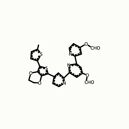 Cc1ccc(-c2sc(-c3ccnc(-c4cc(OC=O)cc(-c5cc(OC=O)ccn5)n4)c3)c3c2OCCO3)s1